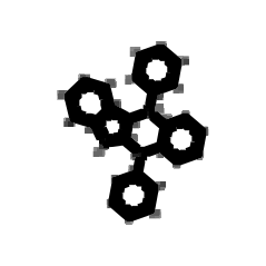 c1ccc(N2c3ccccc3N(c3ccccc3)c3c2sc2ccccc32)cc1